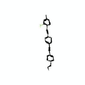 CCCc1ccc(C#Cc2ccc(C#Cc3ccc(C)cc3F)cc2)cc1